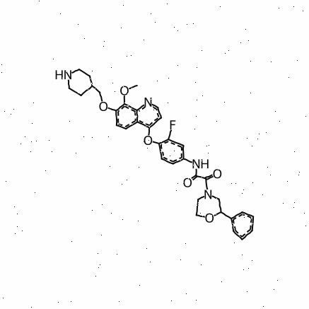 COc1c(OCC2CCNCC2)ccc2c(Oc3ccc(NC(=O)C(=O)N4CCOC(c5ccccc5)C4)cc3F)ccnc12